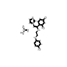 Clc1ccc(OCCOC(=Cn2ccnc2)c2ccc(Cl)cc2Cl)cc1.O=[N+]([O-])O